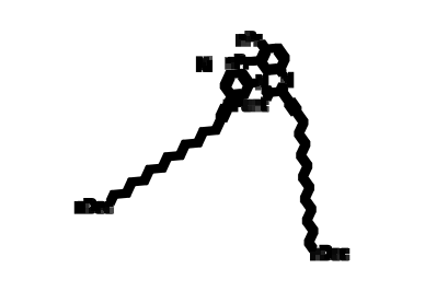 CCCCCCCCCCCCCCCCCCCCCCC#CC(=Nc1ccc(CCC)c(CCC)c1)C(CCCCC)=Nc1cccc(C#CCCCCCCCCCCCCCCCCCCCCCC)c1.[Ni]